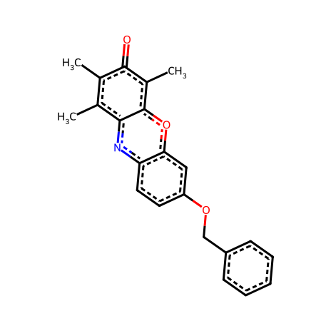 Cc1c2nc3ccc(OCc4ccccc4)cc3oc-2c(C)c(=O)c1C